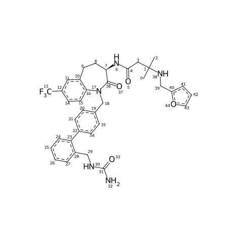 CC(C)(CC(=O)N[C@@H]1CCc2cc(C(F)(F)F)ccc2N(Cc2ccc(-c3ccccc3CNC(N)=O)cc2)C1=O)NCc1ccco1